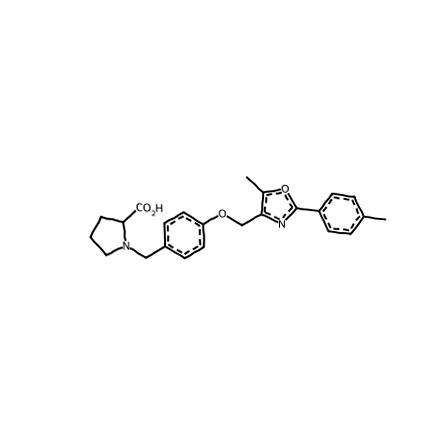 Cc1ccc(-c2nc(COc3ccc(CN4CCCC4C(=O)O)cc3)c(C)o2)cc1